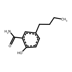 CCCCc1ccc(O)c(C(N)=O)c1